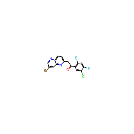 O=C(Cc1ccc2ncc(Br)cc2n1)c1cc(Cl)c(F)cc1F